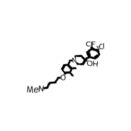 CNCCCCOc1ccc(CN2CCC(O)(c3ccc(Cl)c(C(F)(F)F)c3)CC2)c(C)c1C